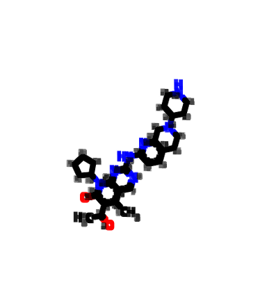 CC(=O)c1c(C)c2cnc(Nc3ccc4c(n3)CN(C3CCNCC3)CC4)nc2n(C2CCCC2)c1=O